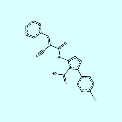 N#C/C(=C\c1ccccc1)C(=O)Nc1csc(-c2ccc(Cl)cc2)c1C(=O)O